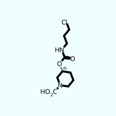 O=C(NCCCCl)O[C@@H]1CCCN(C(=O)O)C1